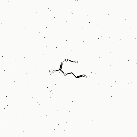 C=CCOC(C)=O.CO